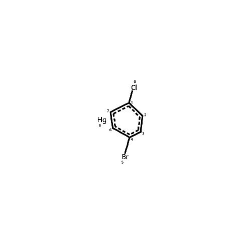 Clc1ccc(Br)cc1.[Hg]